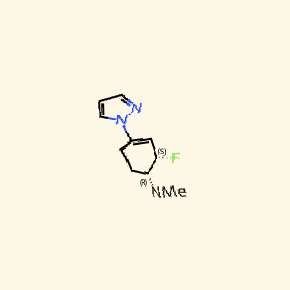 CN[C@@H]1CCC(n2cccn2)=C[C@@H]1F